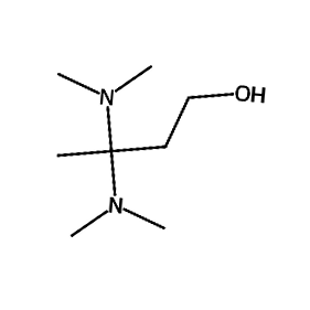 CN(C)C(C)(CCO)N(C)C